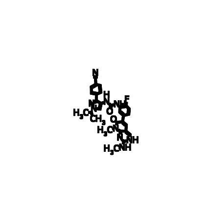 CNC1N=c2c(cc(-c3ccc(F)c(NC(=O)Nc4cn(C(C)C)nc4-c4ccc(C#N)cc4)c3)c(=O)n2C)=CN1